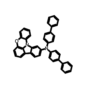 c1ccc(-c2ccc(N(c3ccc(-c4ccccc4)cc3)c3ccc4c5cccc6c5n(c4c3)-c3ccccc3O6)cc2)cc1